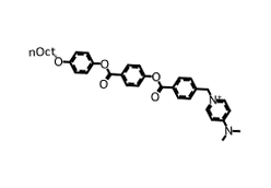 CCCCCCCCOc1ccc(OC(=O)c2ccc(OC(=O)c3ccc(C[n+]4ccc(N(C)C)cc4)cc3)cc2)cc1